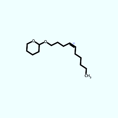 CCCCC/C=C\CCCOC1CCCCO1